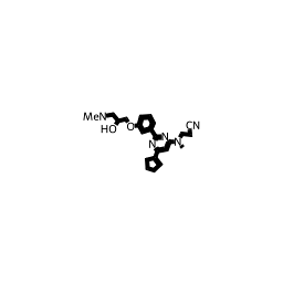 CNCC(O)COc1cccc(-c2nc(C3=CCCC3)cc(N(C)CCC#N)n2)c1